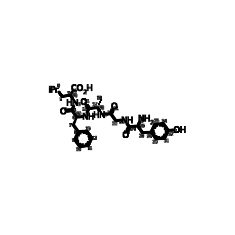 CC(C)C[C@H](NC(=O)[C@H](Cc1ccccc1)NC(=O)[C@H](C)NC(=O)CNC(=O)C(N)Cc1ccc(O)cc1)C(=O)O